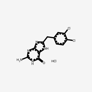 Cl.Nc1nc2nc(Cc3ccc(Cl)c(Cl)c3)[nH]c2c(=O)[nH]1